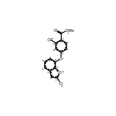 COC(=O)c1ccc(Oc2cccc3cc(Cl)oc23)cc1Cl